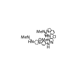 CNCCNC1CCN(c2ccc(Nc3ncc(Cl)c(Nc4cccc5c4N(C(=O)NC)CC5)n3)c(OC)c2)CC1